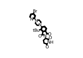 CC(C)(C)c1c(N2CCN(c3cc(Br)ccn3)CC2)ccc2c1C(=O)N(C1CCC(=O)NC1=O)C2=O